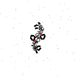 C=C[Si](C=C)(C=C)O[Si](C)(C)O[Si](C)(C)O[Si](O[Si](C)(C)O[Si](C)(C)O[Si](C=C)(C=C)C=C)(c1ccccc1)c1ccccc1